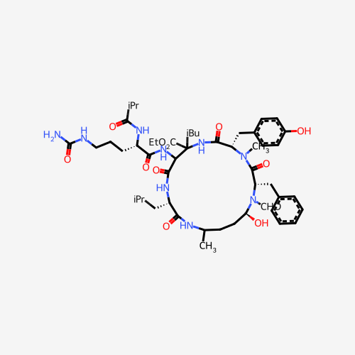 CCOC(=O)C1(C(C)CC)NC(=O)[C@H](Cc2ccc(O)cc2)N(C)C(=O)[C@H](Cc2ccccc2)N(C=O)[C@@H](O)CCC(C)NC(=O)[C@H](CC(C)C)NC(=O)C1NC(=O)[C@H](CCCNC(N)=O)NC(=O)C(C)C